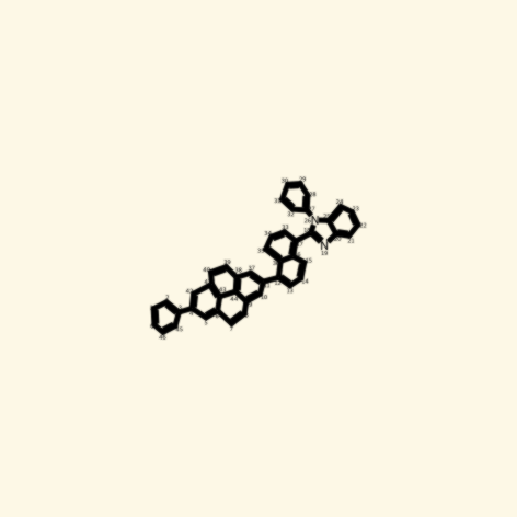 c1ccc(-c2cc3ccc4cc(-c5cccc6c(-c7nc8ccccc8n7-c7ccccc7)cccc56)cc5ccc(c2)c3c45)cc1